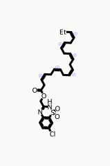 CC/C=C\C/C=C\C/C=C\C/C=C\C/C=C\C/C=C\CC(=O)OCC1=Nc2ccc(Cl)cc2S(=O)(=O)N1